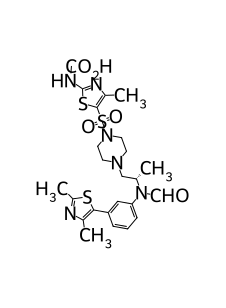 Cc1nc(C)c(-c2cccc(N(C=O)[C@@H](C)CN3CCN(S(=O)(=O)c4sc(NC(=O)O)nc4C)CC3)c2)s1